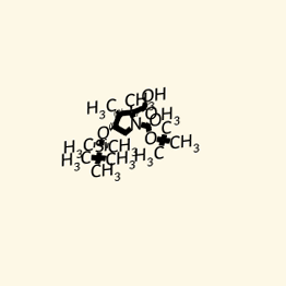 C[C@@H]1[C@@H](O[Si](C)(C)C(C)(C)C)CN(C(=O)OC(C)(C)C)[C@]1(C)C(=O)O